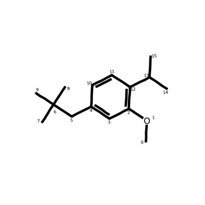 COc1cc(CC(C)(C)C)ccc1C(C)C